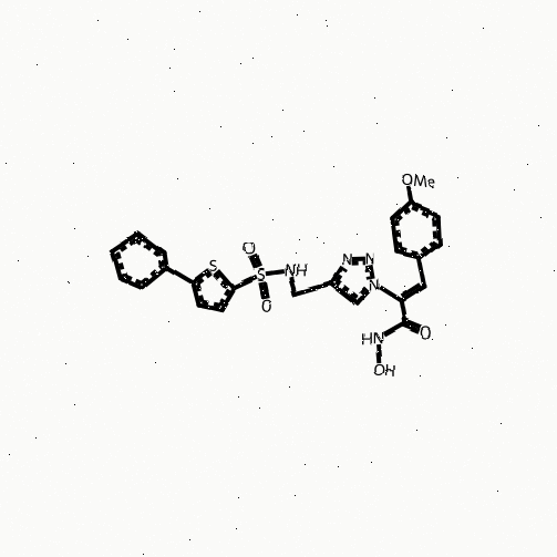 COc1ccc(C=C(C(=O)NO)n2cc(CNS(=O)(=O)c3ccc(-c4ccccc4)s3)nn2)cc1